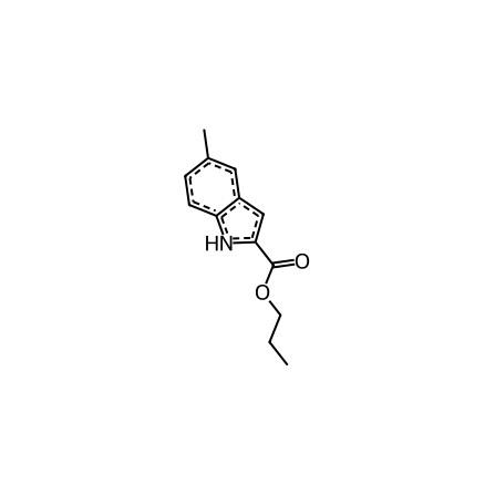 CCCOC(=O)c1cc2cc(C)ccc2[nH]1